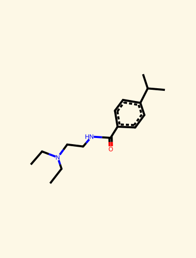 CCN(CC)CCNC(=O)c1ccc(C(C)C)cc1